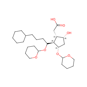 O=C(O)C[C@H]1[C@H](C(CCCC2CCCCC2)OC2CCCCO2)[C@@H](OC2CCCCO2)C[C@H]1O